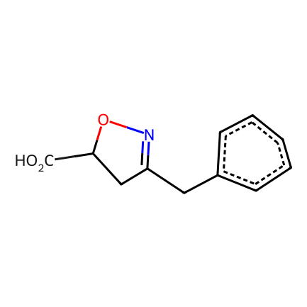 O=C(O)C1CC(Cc2ccccc2)=NO1